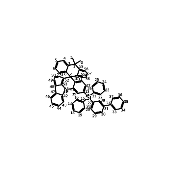 CC1(C)c2ccccc2C2(c3ccc([Si](c4ccccc4)(c4ccccc4)c4cccc(-c5ccccc5)c4)cc3-n3c4ccccc4c4cccc2c43)c2ccccc21